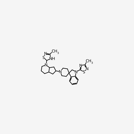 CC1=NSC(N2CCCC3CC(N4CCC5(CC4)CN(c4nc(C)ns4)c4ccccc45)CC32)N1